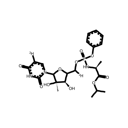 [2H]c1cn(C2OC(C([2H])OP(=O)(N[C@@H](C)C(=O)OC(C)C)Oc3ccccc3)[C@@H](O)[C@@]2(C)O)c(=O)[nH]c1=O